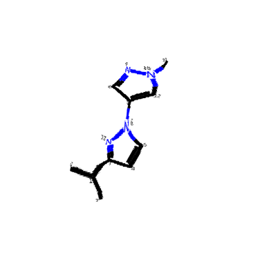 CC(C)c1ccn(-c2cnn(C)c2)n1